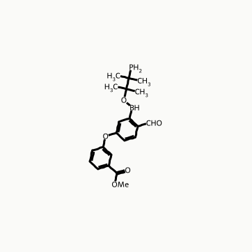 COC(=O)c1cccc(Oc2ccc(C=O)c(BOC(C)(C)C(C)(C)P)c2)c1